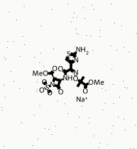 COC(=O)[C@H]1[C@@H](NC(=O)C(=NOC(C)(C)C(=O)OC)c2csc(N)n2)C(=O)N1S(=O)(=O)[O-].[Na+]